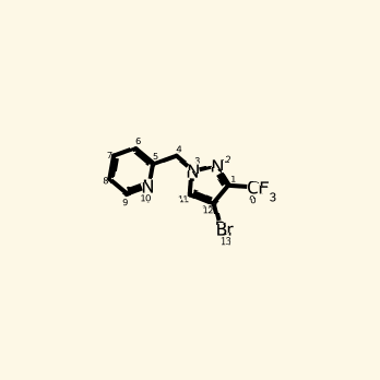 FC(F)(F)c1nn(Cc2ccccn2)cc1Br